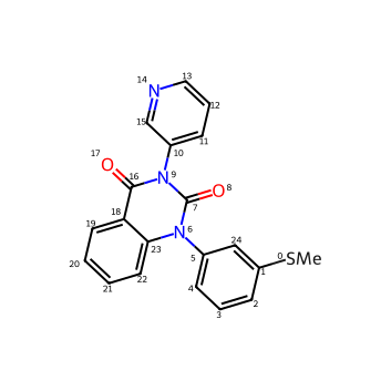 CSc1cccc(-n2c(=O)n(-c3cccnc3)c(=O)c3ccccc32)c1